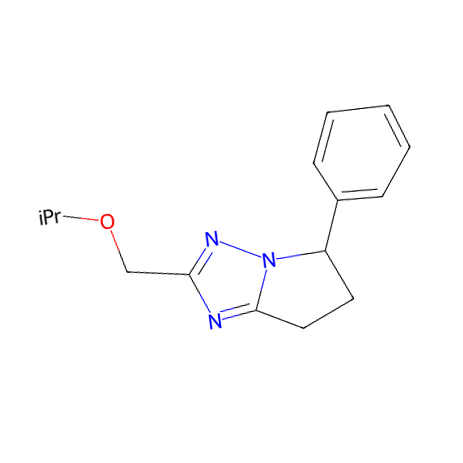 CC(C)OCc1nc2n(n1)C(c1ccccc1)CC2